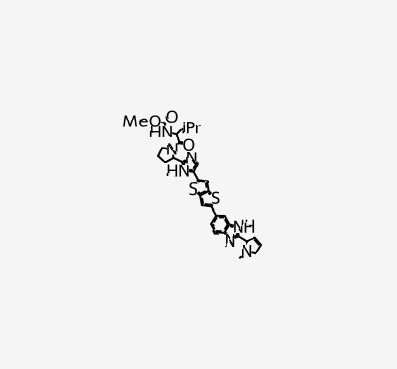 COC(=O)NC(C(=O)N1CCCC1c1ncc(-c2cc3sc(-c4ccc5nc(C6C=CCN6C)[nH]c5c4)cc3s2)[nH]1)C(C)C